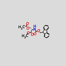 COC(=O)[C@H](COC(C)=O)NC(=O)OCC1c2ccccc2-c2ccccc21